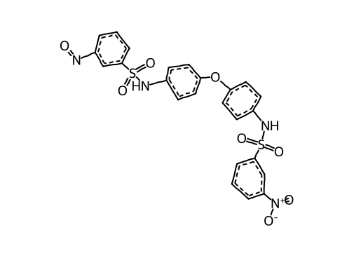 O=Nc1cccc(S(=O)(=O)Nc2ccc(Oc3ccc(NS(=O)(=O)c4cccc([N+](=O)[O-])c4)cc3)cc2)c1